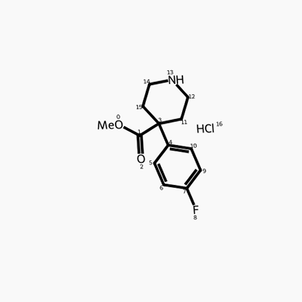 COC(=O)C1(c2ccc(F)cc2)CCNCC1.Cl